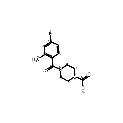 Cc1cc(Br)ccc1C(=O)N1CCN(C(=O)O)CC1